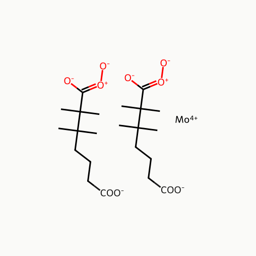 CC(C)(CCCC(=O)[O-])C(C)(C)C([O-])=[O+][O-].CC(C)(CCCC(=O)[O-])C(C)(C)C([O-])=[O+][O-].[Mo+4]